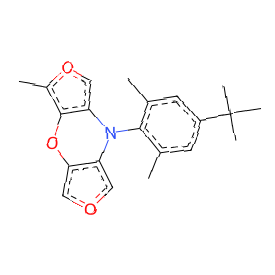 Cc1cc(C(C)(C)C)cc(C)c1N1c2cocc2Oc2c1coc2C